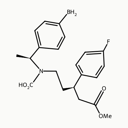 Bc1ccc([C@H](C)N(CC[C@H](CC(=O)OC)c2ccc(F)cc2)C(=O)O)cc1